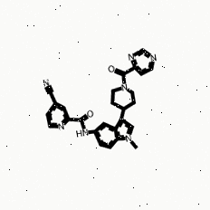 Cn1cc(C2CCN(C(=O)c3ccncn3)CC2)c2cc(NC(=O)c3cc(C#N)ccn3)ccc21